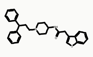 O=C(Cc1csc2ccccc12)NC1CCN(CCC(c2ccccc2)c2ccccc2)CC1